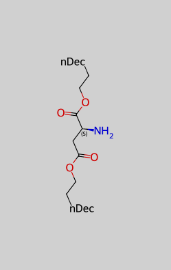 CCCCCCCCCCCCOC(=O)C[C@H](N)C(=O)OCCCCCCCCCCCC